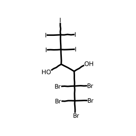 OC(C(O)C(I)(I)C(I)(I)I)C(Br)(Br)C(Br)(Br)Br